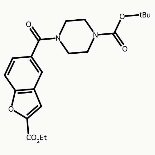 CCOC(=O)c1cc2cc(C(=O)N3CCN(C(=O)OC(C)(C)C)CC3)ccc2o1